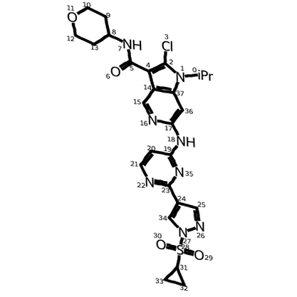 CC(C)n1c(Cl)c(C(=O)NC2CCOCC2)c2cnc(Nc3ccnc(-c4cnn(S(=O)(=O)C5CC5)c4)n3)cc21